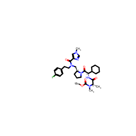 C[C@@H](C(=O)N[C@H](C(=O)N1CCC[C@H]1CN(CCc1ccc(F)cc1)C(=O)c1cn(C)cn1)C1CCCCC1)N(C)C(=O)OC(C)(C)C